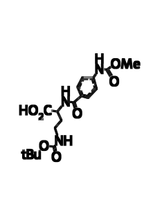 COC(=O)Nc1ccc(C(=O)NC(CCNC(=O)OC(C)(C)C)C(=O)O)cc1